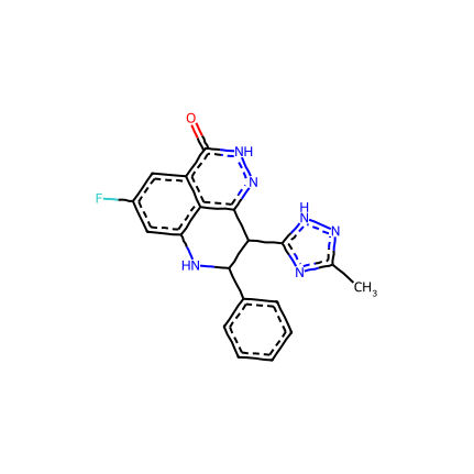 Cc1n[nH]c(C2c3n[nH]c(=O)c4cc(F)cc(c34)NC2c2ccccc2)n1